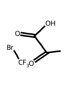 CC(=O)C(=O)O.FC(F)(F)Br